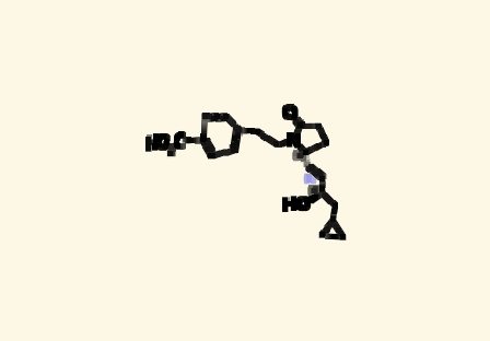 O=C(O)c1ccc(CCN2C(=O)CC[C@@H]2/C=C/[C@H](O)CC2CC2)cc1